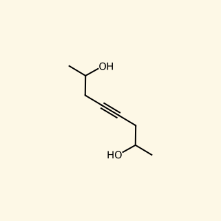 CC(O)CC#CCC(C)O